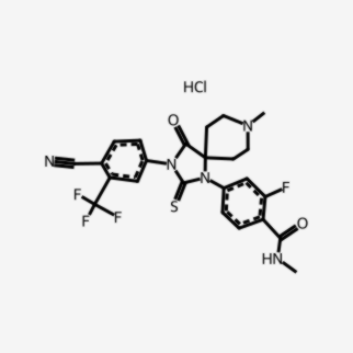 CNC(=O)c1ccc(N2C(=S)N(c3ccc(C#N)c(C(F)(F)F)c3)C(=O)C23CCN(C)CC3)cc1F.Cl